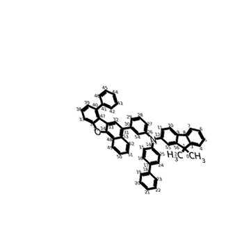 CC1(C)c2ccccc2-c2ccc(N(c3ccc(-c4ccccc4)cc3)c3cccc(-c4cc5c(oc6cccc(-c7ccccc7)c65)c5ccccc45)c3)cc21